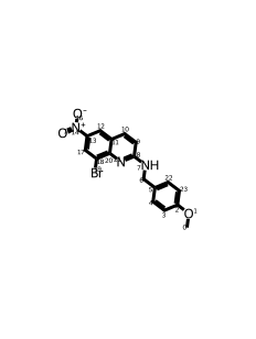 COc1ccc(CNc2ccc3cc([N+](=O)[O-])cc(Br)c3n2)cc1